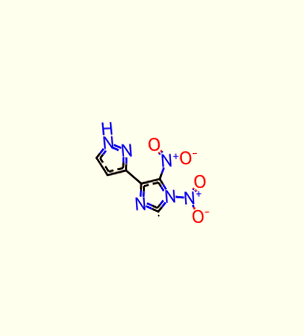 O=[N+]([O-])c1c(-c2cc[nH]n2)n[c]n1[N+](=O)[O-]